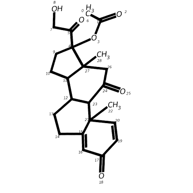 CC(=O)OC1(C(=O)CO)CCC2C3CCC4=CC(=O)C=CC4(C)C3C(=O)CC21C